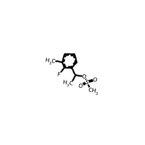 Cc1cccc(C(C)OS(C)(=O)=O)c1F